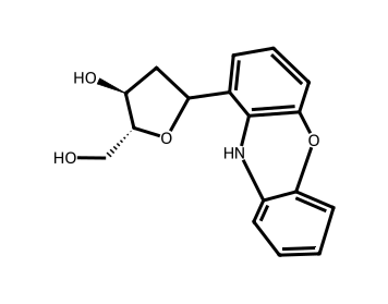 OC[C@H]1OC(c2cccc3c2Nc2ccccc2O3)C[C@@H]1O